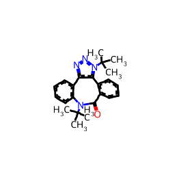 CC(C)(C)N1C(=O)c2ccccc2-c2c(nnn2C(C)(C)C)-c2ccccc21